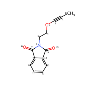 CC#COCCN1C(=O)c2ccccc2C1=O